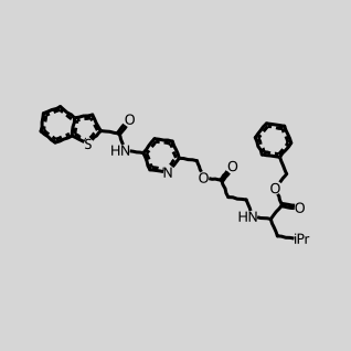 CC(C)CC(NCCC(=O)OCc1ccc(NC(=O)c2cc3ccccc3s2)cn1)C(=O)OCc1ccccc1